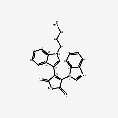 O=C1NC(=O)C(n2cnc3ccccc32)=C1c1cn(CCCO)c2ccccc12